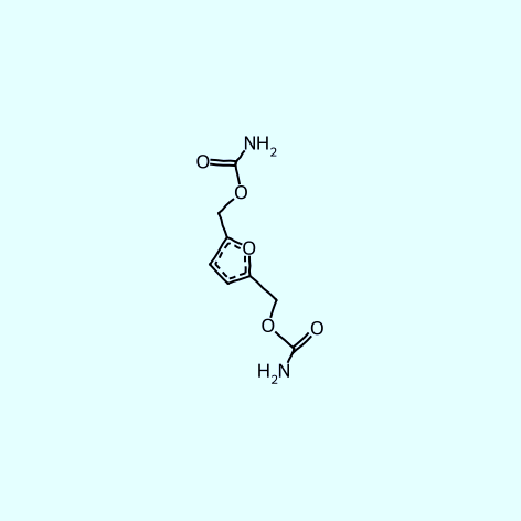 NC(=O)OCc1ccc(COC(N)=O)o1